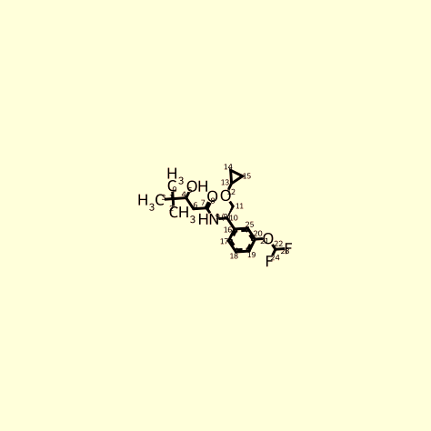 CC(C)(C)C(O)CC(=O)N[C@@H](COC1CC1)c1cccc(OC(F)F)c1